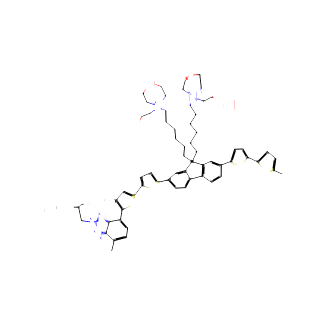 CCCCCCCCC(CCCCCC)Cn1nc2c(C)ccc(-c3ccc(-c4ccc(-c5ccc6c(c5)C(CCCCCC[N+]5(CCO)CCOCC5)(CCCCCC[N+]5(CCO)CCOCC5)c5cc(-c7ccc(-c8ccc(C)s8)s7)ccc5-6)s4)s3)c2n1